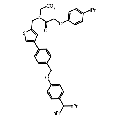 CCCC(CCC)c1ccc(OCc2ccc(-c3csc(CN(CC(=O)O)C(=O)COc4ccc(C(C)C)cc4)c3)cc2)cc1